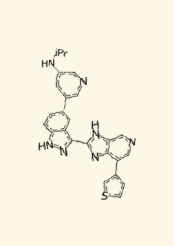 CC(C)Nc1cncc(-c2ccc3[nH]nc(-c4nc5c(-c6ccsc6)cncc5[nH]4)c3c2)c1